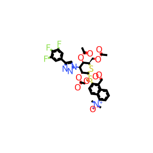 CC(=O)OC[C@H]1SC(S(=O)(=O)c2ccc3c([N+](C)(C)[O-])cccc3c2C=O)[C@H](OC(C)=O)[C@@H](n2cc(-c3cc(F)c(F)c(F)c3)nn2)[C@H]1OC(C)=O